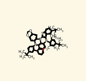 Cc1cc(C(C)(C)C)cc(C)c1N1c2cccc3c2B(c2cc4c(cc2N3c2ccc(C(C)(C)C)cc2-c2ccccc2)OCO4)c2sc3ccc(C(C)(C)C)cc3c21